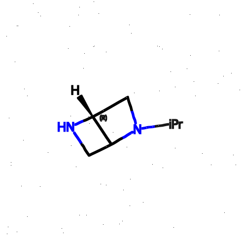 CC(C)N1C[C@H]2NCC21